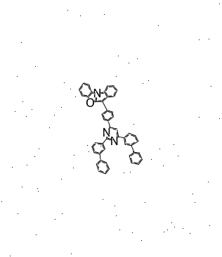 c1ccc(-c2cccc(-c3cc(-c4ccc(-c5c6ccccc6n6c5oc5ccccc56)cc4)nc(-c4cccc(-c5ccccc5)c4)n3)c2)cc1